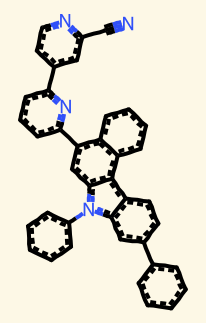 N#Cc1cc(-c2cccc(-c3cc4c(c5ccccc35)c3ccc(-c5ccccc5)cc3n4-c3ccccc3)n2)ccn1